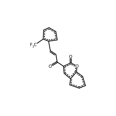 O=C(C=Cc1ccccc1C(F)(F)F)c1cc2ccccc2oc1=O